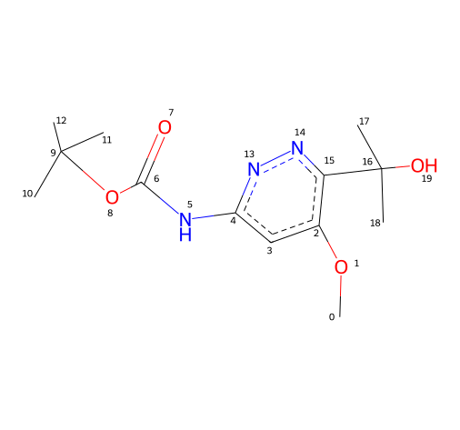 COc1cc(NC(=O)OC(C)(C)C)nnc1C(C)(C)O